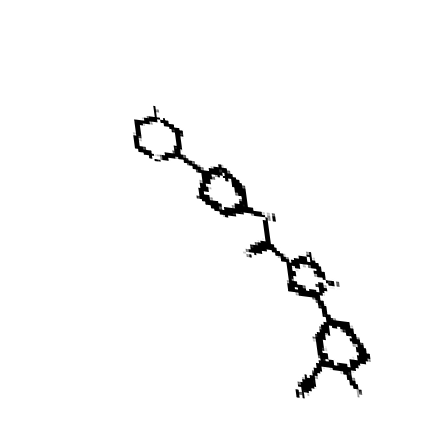 N#Cc1cc(-c2cc(C(=O)Nc3ccc(C4CNCCO4)cc3)n[nH]2)ccc1F